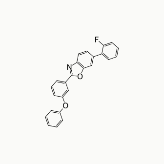 Fc1ccccc1-c1ccc2nc(-c3cccc(Oc4ccccc4)c3)oc2c1